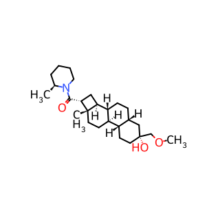 COC[C@@]1(O)CC[C@H]2[C@H](CC[C@@H]3[C@@H]2CC[C@]2(C)[C@H](C(=O)N4CCCC[C@@H]4C)C[C@@H]32)C1